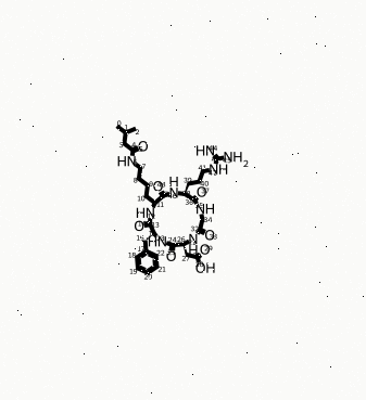 CC(C)CC(=O)NCCCCC1NC(=O)[C@@H](Cc2ccccc2)NC(=O)[C@H](CC(=O)O)NC(=O)CNC(=O)[C@H](CCCNC(=N)N)NC1=O